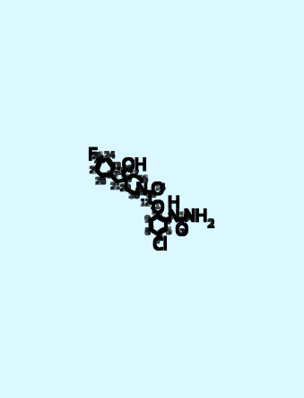 NC(=O)Nc1cc(Cl)ccc1OCC(=O)N1CCC(CO)(Cc2ccc(F)cc2)CC1